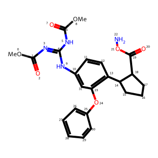 COC(=O)N=C(NC(=O)OC)Nc1ccc(C2CCCC2C(=O)ON)c(Oc2ccccc2)c1